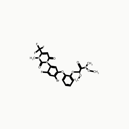 CO[C@H](Oc1ccccc1Oc1cc(-n2c(=O)cc(C(F)(F)F)n(C)c2=O)c(F)cc1Br)C(=O)N(C)OC